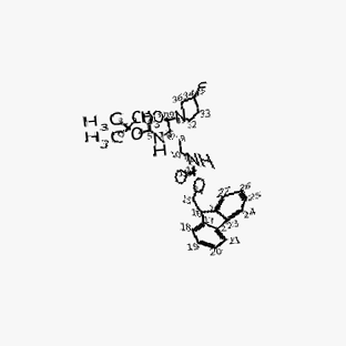 CC(C)(C)OC(=O)N[C@@H](CCNC(=O)OCC1c2ccccc2-c2ccccc21)C(=O)N1CCC(F)C1